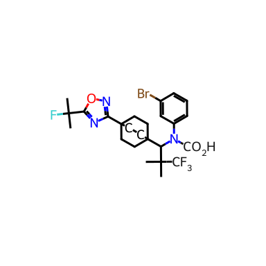 CC(C)(F)c1nc(C23CCC(C(N(C(=O)O)c4cccc(Br)c4)C(C)(C)C(F)(F)F)(CC2)CC3)no1